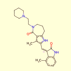 Cc1cccc2c1/C(=C/c1[nH]c3c(c1C)C(=O)N(CCN1CCCCC1)CCC3)C(=O)N2